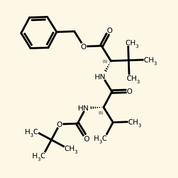 CC(C)[C@H](NC(=O)OC(C)(C)C)C(=O)N[C@H](C(=O)OCc1ccccc1)C(C)(C)C